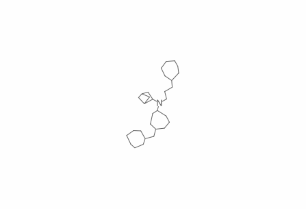 C1CCCC(CCCN(C2CCCC(CC3CCCCCC3)CC2)C2CC3CC2C3)CC1